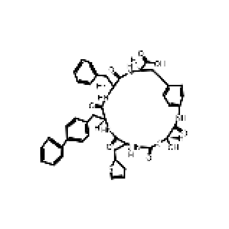 O=C1C[C@@H](O)C(=O)Nc2ccc(cc2)C[C@H](C(=O)O)NC(=O)[C@H](Cc2ccccc2)NC(=O)[C@@H](Cc2ccc(-c3ccccc3)cc2)NC(=O)[C@H](CC2CC=CS2)N1